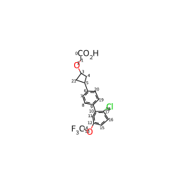 O=C(O)COC1CC(c2ccc(-c3cc(OC(F)(F)F)ccc3Cl)cc2)C1